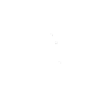 O=C1CCCc2c1ccn2CCCCN1CCN(c2ccc(F)c(C(F)(F)F)c2)CC1